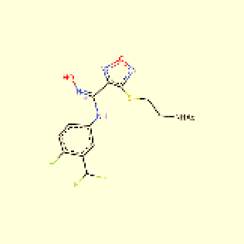 CC(=O)NCCSc1nonc1/C(=N\O)Nc1ccc(F)c(C(F)F)c1